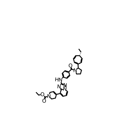 CCOC(=O)N1CC=C(c2cccn3nc(Nc4ccc(C(=O)N5CCCC5C5=CC=C[C@H](CC)C=C5)cc4)nc23)CC1